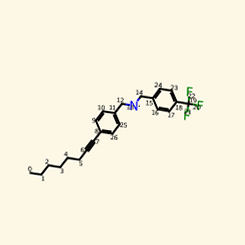 CCCCCCC#Cc1ccc(C[N]Cc2ccc(C(F)(F)F)cc2)cc1